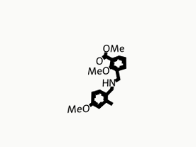 COC(=O)c1cccc(CNCc2ccc(OC)cc2C)c1OC